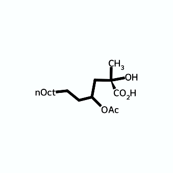 CCCCCCCCCCC(C[C@](C)(O)C(=O)O)OC(C)=O